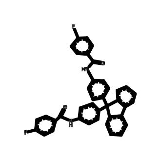 O=C(Nc1ccc(C2(c3ccc(NC(=O)c4ccc(F)cc4)cc3)c3ccccc3-c3ccccc32)cc1)c1ccc(F)cc1